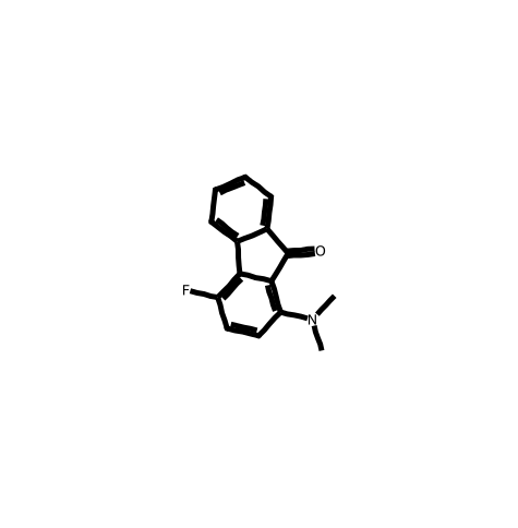 CN(C)c1ccc(F)c2c1C(=O)c1ccccc1-2